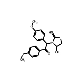 COc1ccc(C(=O)C(c2ccc(OC)cc2)N2C(=N)SCC2C)cc1